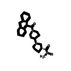 CCN(C)C(=O)[C@@H]1CCCN(C2CCN(C(=O)c3c4ccccc4cc4ccccc34)CC2)C1